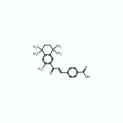 Cc1cc2c(cc1C(=O)/C=C/c1ccc(C(=O)O)cc1)C(C)(C)CCC2(C)C